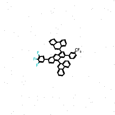 Fc1cc(-c2ccc3c(-c4cc5ccccc5c5ccccc45)c4cc(-c5cccc(C(F)(F)F)c5)cc(-c5cc6ccccc6c6ccccc56)c4cc3c2)cc(F)c1F